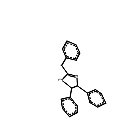 [CH](C1=NC(c2ccccc2)C(c2ccccc2)N1)c1ccccc1